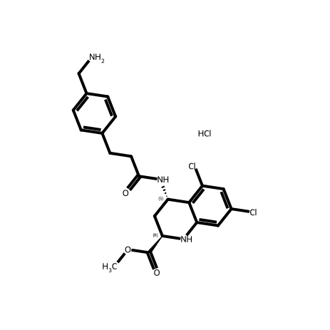 COC(=O)[C@H]1C[C@H](NC(=O)CCc2ccc(CN)cc2)c2c(Cl)cc(Cl)cc2N1.Cl